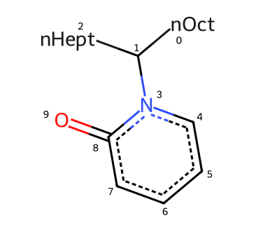 CCCCCCCCC(CCCCCCC)n1ccccc1=O